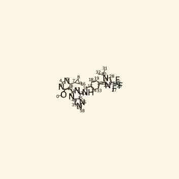 COc1ncnc(C2CC2)c1-c1nc(N[C@H](C)c2ccc(-c3nc(C(F)(F)F)cn3C(C)C)cc2)c2nn(C)cc2n1